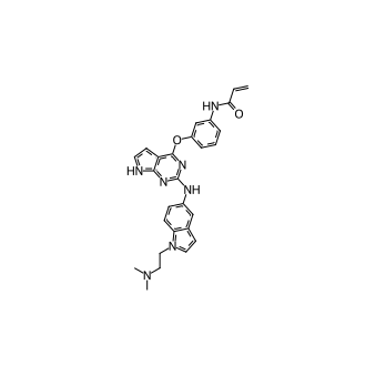 C=CC(=O)Nc1cccc(Oc2nc(Nc3ccc4c(ccn4CCN(C)C)c3)nc3[nH]ccc23)c1